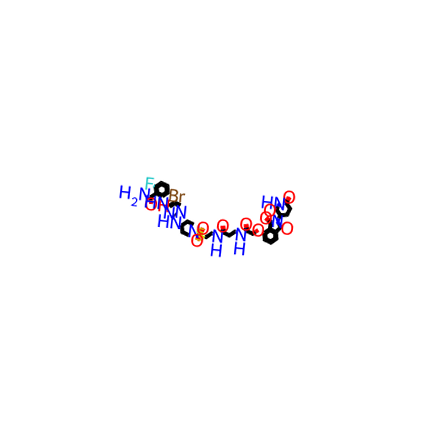 NC(O)c1c(F)cccc1Nc1nc(NC2CCN(S(=O)(=O)CCNC(=O)CCNC(=O)COc3cccc4c3C(=O)N(C3CCC(=O)NC3=O)C4=O)CC2)ncc1Br